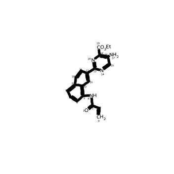 C=CC(=O)Nc1cccc2ccc(-c3ncc(N)c(C(=O)OCC)n3)cc12